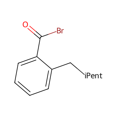 CCCC(C)Cc1ccccc1C(=O)Br